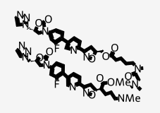 CN(C)CC(=O)N(C)CCCCC(=O)OC[C@@H]1CC(c2ccc(-c3ccc(N4C[C@H](Cn5ccnn5)OC4=O)cc3F)cn2)=NO1.CNCCCC(C(=O)OC)[C@@H]1CC(c2ccc(-c3ccc(N4C[C@H](Cn5ccnn5)OC4=O)cc3F)cn2)=NO1